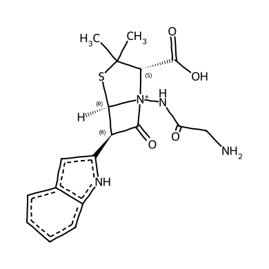 CC1(C)S[C@@H]2[C@H](c3cc4ccccc4[nH]3)C(=O)[N+]2(NC(=O)CN)[C@H]1C(=O)O